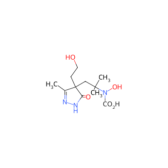 CC1=NNC(=O)C1(CCO)CC(C)(C)N(O)C(=O)O